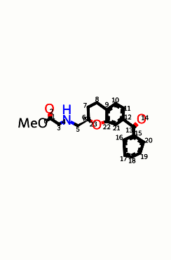 COC(=O)CNC[C@H]1CCc2ccc(C(=O)c3ccccc3)cc2O1